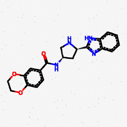 O=C(N[C@@H]1CN[C@H](c2nc3ccccc3[nH]2)C1)c1ccc2c(c1)OCCO2